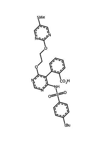 CSc1cnc(OCCOc2ncnc(NS(=O)(=O)c3ccc(C(C)(C)C)cc3)c2-c2ccccc2C(=O)O)nc1